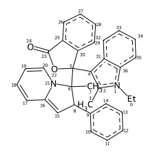 CCn1c(C)c(C2(C3(C)C(c4ccccc4)C=C4C=CC=CN43)OC(=O)c3ccccc32)c2ccccc21